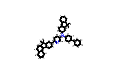 CC1(C)c2ccccc2-c2ccc(N(c3ccc(-c4ccccc4)cc3)c3ccc(-c4ccc5c(c4)C(C)(C)c4ccc6ccccc6c4-5)nc3)cc21